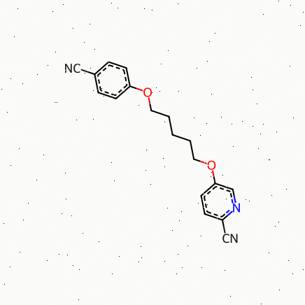 N#Cc1ccc(OCCCCCOc2ccc(C#N)nc2)cc1